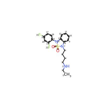 CCNCCCCN1c2ccccc2N(c2ccc(F)cc2F)S1(=O)=O